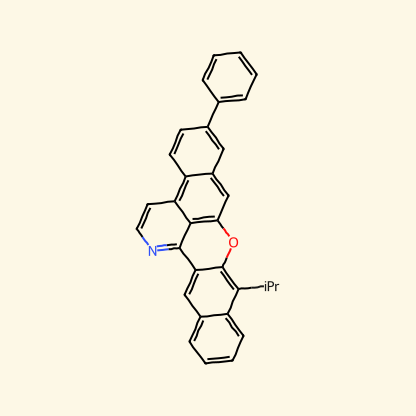 CC(C)c1c2c(cc3ccccc13)-c1nccc3c1c(cc1cc(-c4ccccc4)ccc13)O2